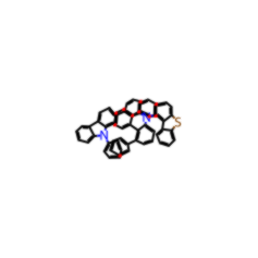 c1ccc(-c2ccccc2-c2c(-c3ccccc3)cccc2N(c2cccc(-c3ccc4c5ccccc5n(-c5ccccc5)c4c3)c2)c2cccc3sc4ccccc4c23)cc1